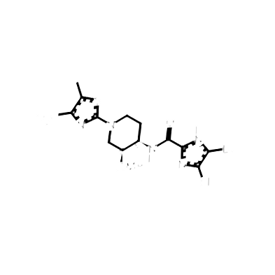 CCc1[nH]c(C(=O)N[C@@H]2CCN(c3nc(C(=O)O)c(C)s3)C[C@@H]2OC)nc1Cl